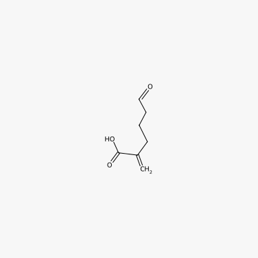 C=C(CCCC=O)C(=O)O